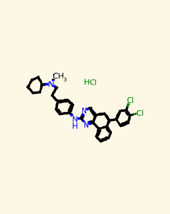 CN(CCc1ccc(Nc2ncc3c(n2)-c2ccccc2C(c2ccc(Cl)c(Cl)c2)C3)cc1)C1CCCCC1.Cl